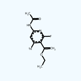 [2H]c1cc(NC(C)=O)nc(F)c1C(=C)OCC